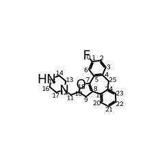 Fc1ccc2c(c1)C1=C(CC(CN3CCNCC3)O1)c1ccccc1C2